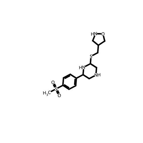 CS(=O)(=O)c1ccc(C2CNCC(SCC3CNOC3)N2)cc1